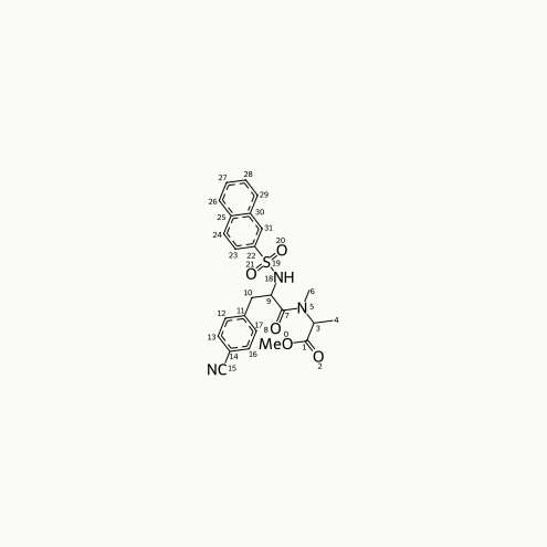 COC(=O)C(C)N(C)C(=O)C(Cc1ccc(C#N)cc1)NS(=O)(=O)c1ccc2ccccc2c1